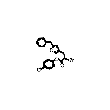 CC(C)C(Cc1coc(Cc2ccccc2)c1)C(=O)Oc1ccc(Cl)cc1